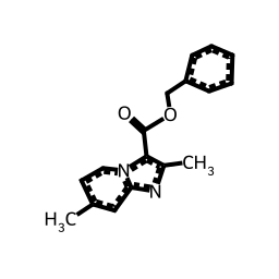 Cc1ccn2c(C(=O)OCc3ccccc3)c(C)nc2c1